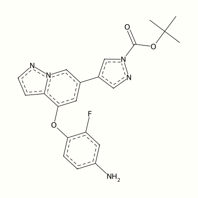 CC(C)(C)OC(=O)n1cc(-c2cc(Oc3ccc(N)cc3F)c3ccnn3c2)cn1